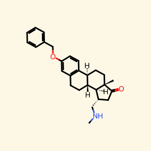 CNC[C@H]1CC(=O)[C@@]2(C)CC[C@@H]3c4ccc(OCc5ccccc5)cc4CC[C@H]3[C@H]12